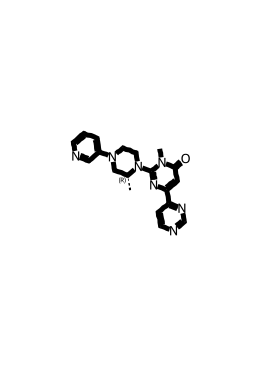 C[C@@H]1CN(c2cccnc2)CCN1c1nc(-c2ccncn2)cc(=O)n1C